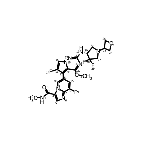 CNC(=O)c1cnc2c(F)cc(-c3c(F)cn4nc(N[C@@H]5CN(C6COC6)CC5(F)F)nc(OC)c34)cn12